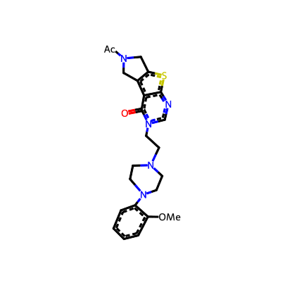 COc1ccccc1N1CCN(CCn2cnc3sc4c(c3c2=O)CN(C(C)=O)C4)CC1